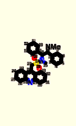 CNC(c1ccccc1)C(c1ccccc1)N(C)S(=O)(=O)Cc1c2ccccc2nc2ccccc12